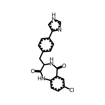 O=C1NC(Cc2ccc(-c3c[nH]cn3)cc2)C(=O)Nc2ccc(Cl)cc21